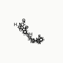 NC(=O)C(CCC=O)C1C(=O)c2ccc(NCC3CC(n4cc(-c5cnc6cccc(F)c6n5)cn4)C3)cc2C1=O